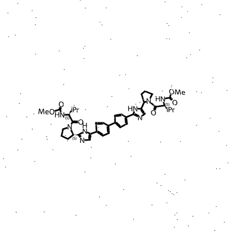 COC(=O)N[C@H](C(=O)N1CCCC1c1cnc(-c2ccc(-c3ccc(-c4cnc([C@@H]5CCCN5C(=O)[C@@H](NC(=O)OC)C(C)C)[nH]4)cc3)cc2)[nH]1)C(C)C